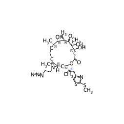 CSc1nc(/C=C(\C)[C@@H]2C[C@@H]3N(CCN=[N+]=[N-])[C@]3(C)CCC[C@H](C)[C@H](O)[C@@H](C)C(=O)C(C)(C)[C@@H](O)CC(=O)O2)cs1